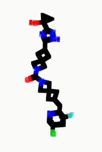 O=C(N1CC2(CC(Cc3ncc(Cl)cc3F)C2)C1)N1CC2(CC(c3nc(C4(O)CC4)n[nH]3)C2)C1